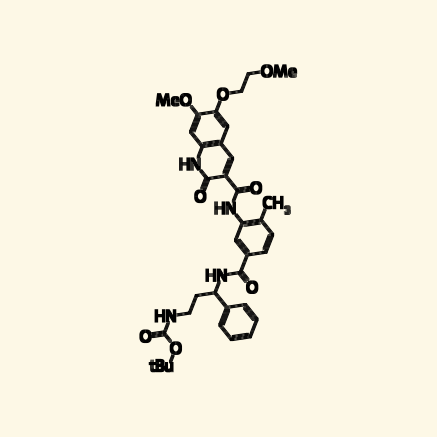 COCCOc1cc2cc(C(=O)Nc3cc(C(=O)NC(CCNC(=O)OC(C)(C)C)c4ccccc4)ccc3C)c(=O)[nH]c2cc1OC